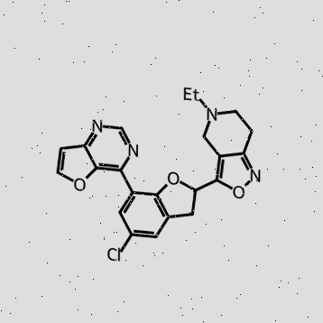 CCN1CCc2noc(C3Cc4cc(Cl)cc(-c5ncnc6ccoc56)c4O3)c2C1